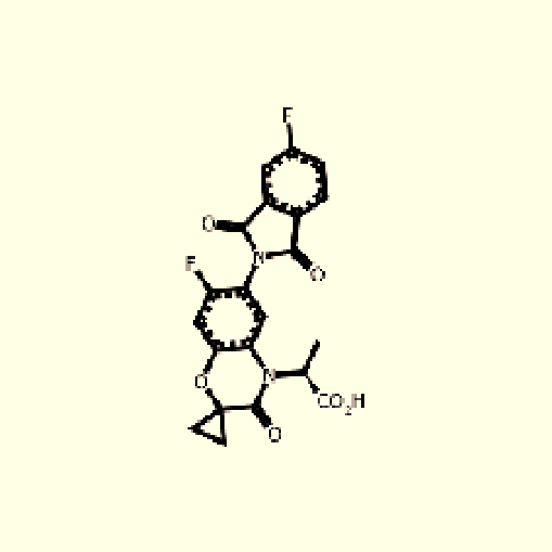 C[C@@H](C(=O)O)N1C(=O)C2(CC2)Oc2cc(F)c(N3C(=O)c4ccc(F)cc4C3=O)cc21